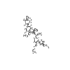 COCCOc1ccc([C@@H](C)NC(=O)c2cc(N3CCN(C)CC3)ccc2C)cc1-c1cnn(C)c1